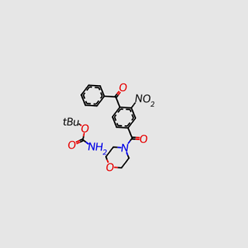 CC(C)(C)OC(N)=O.O=C(c1ccccc1)c1ccc(C(=O)N2CCOCC2)cc1[N+](=O)[O-]